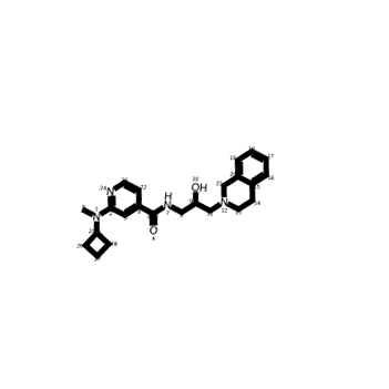 CN(c1cc(C(=O)NCC(O)CN2CCc3ccccc3C2)ccn1)C1CCC1